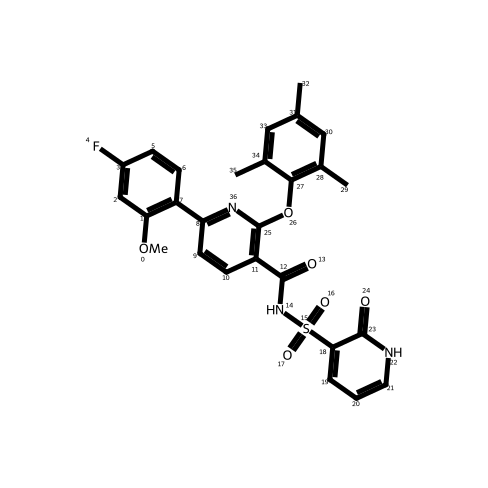 COc1cc(F)ccc1-c1ccc(C(=O)NS(=O)(=O)c2ccc[nH]c2=O)c(Oc2c(C)cc(C)cc2C)n1